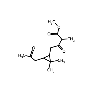 COC(=O)C(C)C(=O)CC1C(CC(C)=O)C1(C)C